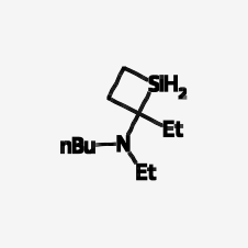 CCCCN(CC)C1(CC)CC[SiH2]1